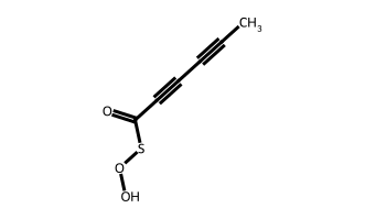 CC#CC#CC(=O)SOO